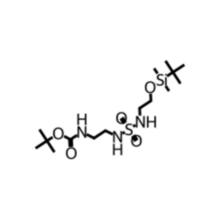 CC(C)(C)OC(=O)NCCNS(=O)(=O)NCCO[Si](C)(C)C(C)(C)C